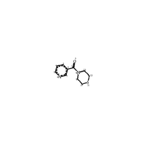 O=C(c1cc[c]nc1)N1CCSCC1